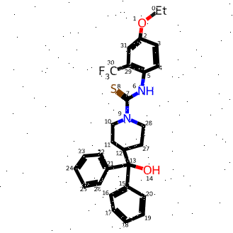 CCOc1ccc(NC(=S)N2CCC(C(O)(c3ccccc3)c3ccccc3)CC2)c(C(F)(F)F)c1